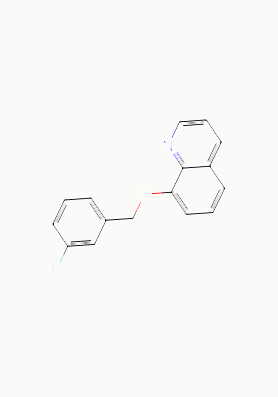 Fc1cccc(COc2cccc3cccnc23)c1